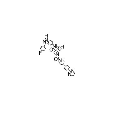 O=C(CN1CC[C@@](COCI)(C(=O)Nc2ccc3[nH]nc(-c4ccc(F)cc4)c3c2)C1)N1CC=C(c2ccc(-c3ncccn3)cc2)CC1